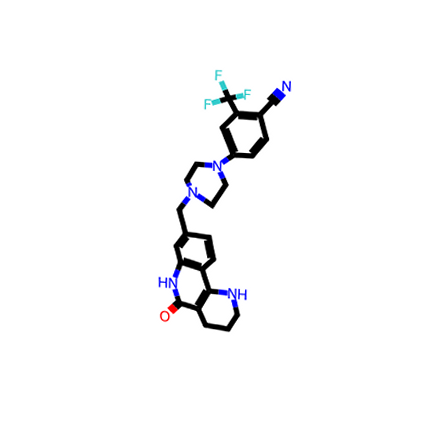 N#Cc1ccc(N2CCN(Cc3ccc4c5c(c(=O)[nH]c4c3)CCCN5)CC2)cc1C(F)(F)F